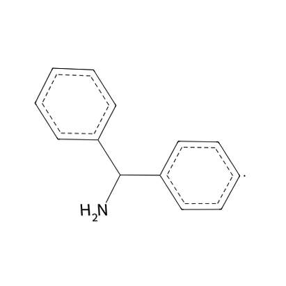 NC(c1cc[c]cc1)c1ccccc1